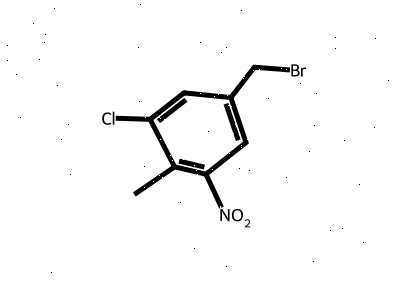 Cc1c(Cl)cc(CBr)cc1[N+](=O)[O-]